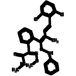 CNC(=O)C(=NOC)c1ccccc1C(ONc1ccccc1)=C(C)C=Cc1c(Cl)cccc1Cl